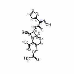 CC(=O)OCC1=C(C(=O)[O-])N2C(=O)[C@@H](NC(=O)/C(=N\O)c3ccco3)[C@H]2SC1.[Na+]